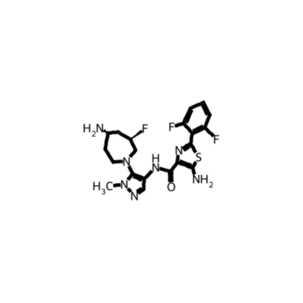 Cn1ncc(NC(=O)c2nc(-c3c(F)cccc3F)sc2N)c1N1CC[C@@H](N)C[C@@H](F)C1